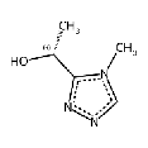 C[C@@H](O)c1nncn1C